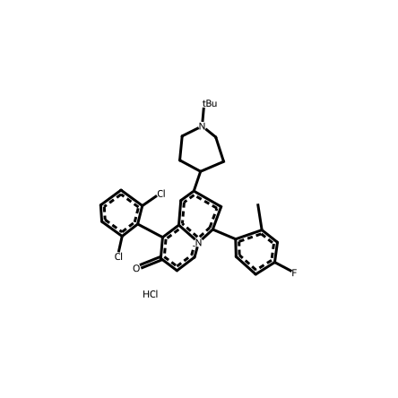 Cc1cc(F)ccc1-c1cc(C2CCN(C(C)(C)C)CC2)cc2c(-c3c(Cl)cccc3Cl)c(=O)ccn12.Cl